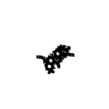 CC1(C)CC[C@]2(COO)CC[C@]3(C)C(C(=O)C[C@@H]4[C@@]5(C)C=C(C#N)C(=O)C(C)(C)[C@@H]5CC[C@]43C)C2C1